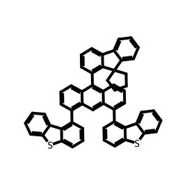 c1ccc2c(c1)-c1cccc(-c3c4cccc(-c5cccc6sc7ccccc7c56)c4cc4c(-c5cccc6sc7ccccc7c56)cccc34)c1C21CCCC1